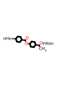 CCCCCCCCCOC(C)c1ccc(OC(=O)c2ccc(CCCCCC)cc2)cc1